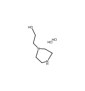 Cl.Cl.OCCN1CCNCC1